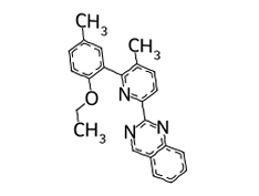 CCOc1ccc(C)cc1-c1nc(-c2ncc3ccccc3n2)ccc1C